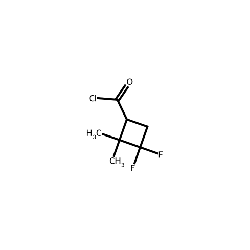 CC1(C)C(C(=O)Cl)CC1(F)F